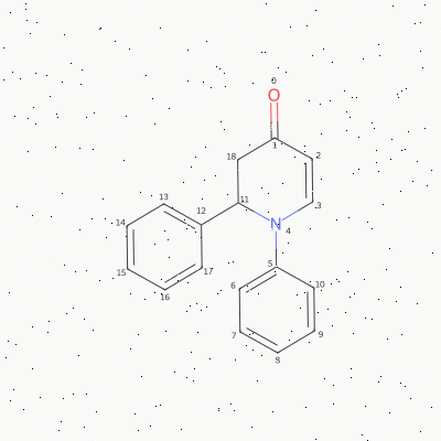 O=C1C=CN(c2ccccc2)C(c2ccccc2)C1